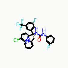 O=C(Nc1cccc(F)c1)N[C@](Cc1ccccn1)(c1cc(F)cc(C(F)(F)F)c1)c1ccc(Cl)cn1